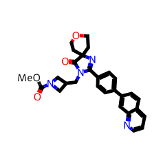 COC(=O)N1CC(CN2C(=O)C3(CCOCC3)N=C2c2ccc(-c3ccc4cccnc4c3)cc2)C1